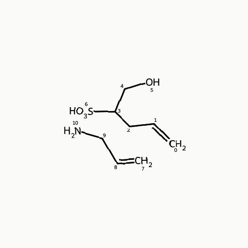 C=CCC(CO)S(=O)(=O)O.C=CCN